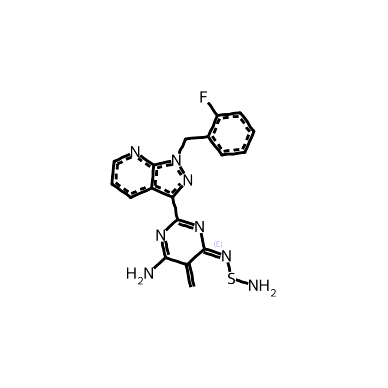 C=C1C(N)=NC(c2nn(Cc3ccccc3F)c3ncccc23)=N/C1=N/SN